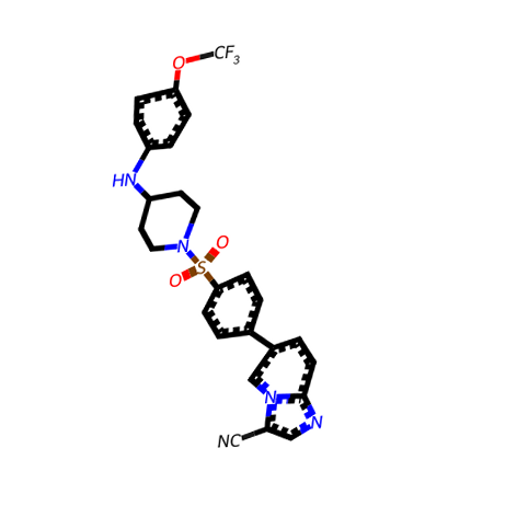 N#Cc1cnc2ccc(-c3ccc(S(=O)(=O)N4CCC(Nc5ccc(OC(F)(F)F)cc5)CC4)cc3)cn12